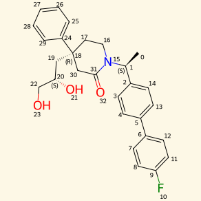 C[C@@H](c1ccc(-c2ccc(F)cc2)cc1)N1CC[C@](C[C@H](O)CO)(c2ccccc2)CC1=O